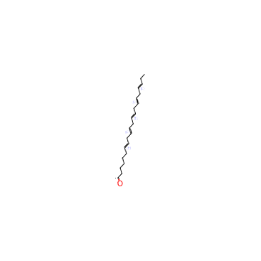 CC/C=C/C/C=C/C/C=C/C/C=C/C/C=C/CCCCC[C]=O